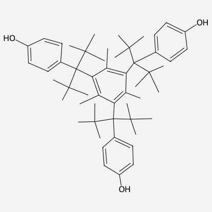 Cc1c(C(c2ccc(O)cc2)(C(C)(C)C)C(C)(C)C)c(C)c(C(c2ccc(O)cc2)(C(C)(C)C)C(C)(C)C)c(C)c1C(c1ccc(O)cc1)(C(C)(C)C)C(C)(C)C